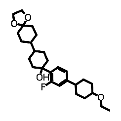 CCOC1CCC(c2ccc(C3(O)CCC(C4CCC5(CC4)OCCO5)CC3)c(F)c2)CC1